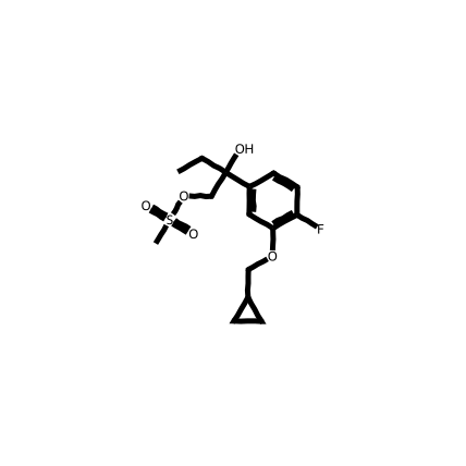 CCC(O)(COS(C)(=O)=O)c1ccc(F)c(OCC2CC2)c1